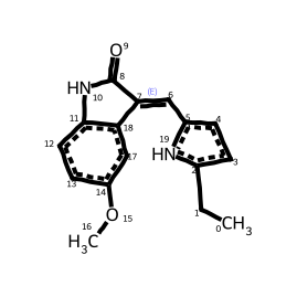 CCc1ccc(/C=C2/C(=O)Nc3ccc(OC)cc32)[nH]1